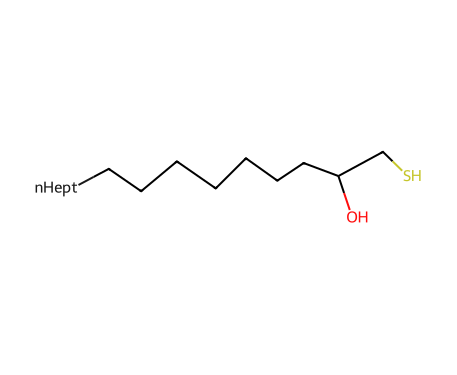 CCCCCCCCCCCCCCC(O)CS